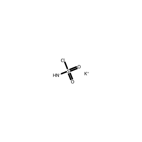 [K+].[NH-]S(=O)(=O)Cl